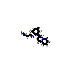 N#CCc1nc2c(-c3ccc4ccccc4n3)cccc2s1